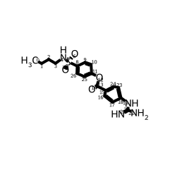 CCCCNS(=O)(=O)c1ccc(OC(=O)c2ccc(NC(=N)N)cc2)cc1